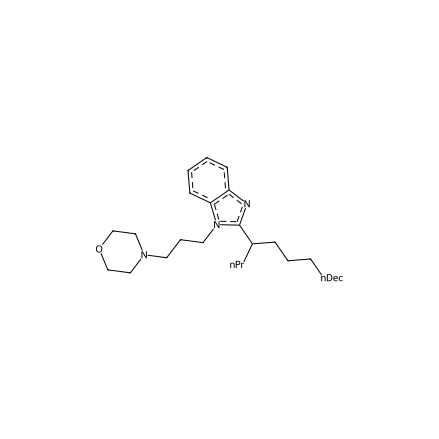 CCCCCCCCCCCCCC(CCC)c1nc2ccccc2n1CCCN1CCOCC1